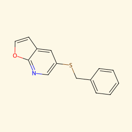 c1ccc(CSc2cnc3occc3c2)cc1